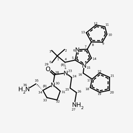 CC(C)(C)[C@H](c1nc(-c2ccccc2)cn1Cc1ccccc1)N(CCCN)C(=O)N1CCC[C@@H]1CN